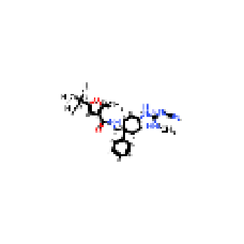 CN/C(=N\C#N)N[C@H]1CC[C@](CNC(=O)c2cc(C(C)(C)C)oc2C)(c2ccccc2)CC1